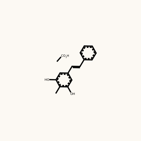 CC(=O)O.Cc1c(O)cc(C=Cc2ccccc2)cc1O